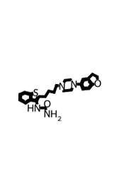 NC(=O)Nc1c(CCCCN2CCN(c3ccc4c(c3)CCO4)CC2)sc2ccccc12